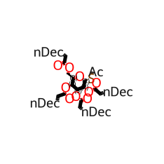 CCCCCCCCCCCC(=O)OC[C@H]1O[C@H](SC(C)=O)[C@H](OC(=O)CCCCCCCCCCC)[C@@H](OC(=O)CCCCCCCCCCC)[C@H]1OC(=O)CCCCCCCCCCC